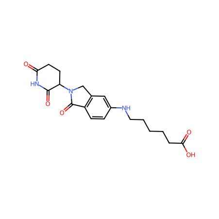 O=C(O)CCCCCNc1ccc2c(c1)CN(C1CCC(=O)NC1=O)C2=O